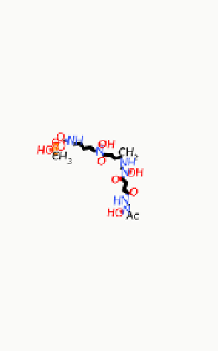 C=C(CCC(=O)N(O)CCCCCNC(=O)OP(C)(=O)O)NCN(O)C(=O)CCC(=O)NCN(O)C(C)=O